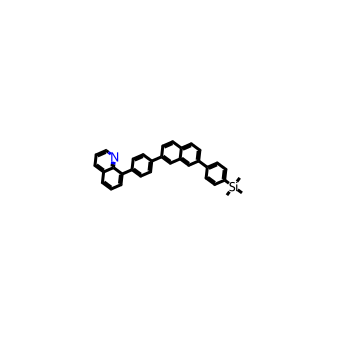 C[Si](C)(C)c1ccc(-c2ccc3ccc(-c4ccc(-c5cccc6cccnc56)cc4)cc3c2)cc1